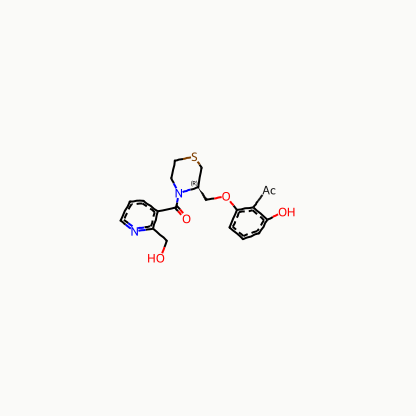 CC(=O)c1c(O)cccc1OC[C@@H]1CSCCN1C(=O)c1cccnc1CO